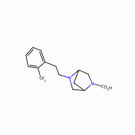 O=C(O)N1CC2CC1CN2CCc1ccccc1C(F)(F)F